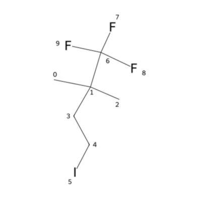 CC(C)(CCI)C(F)(F)F